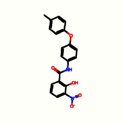 Cc1ccc(Oc2ccc(NC(=O)c3cccc([N+](=O)[O-])c3O)cc2)cc1